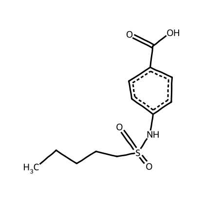 CCCCCS(=O)(=O)Nc1ccc(C(=O)O)cc1